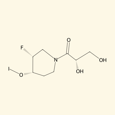 O=C([C@@H](O)CO)N1CC[C@H](OI)[C@H](F)C1